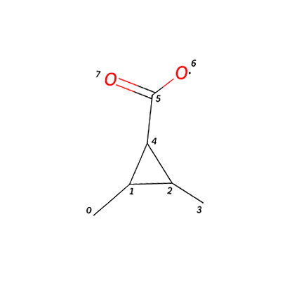 CC1C(C)C1C([O])=O